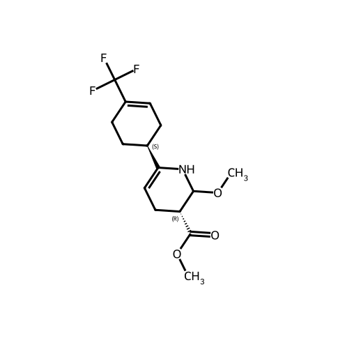 COC(=O)[C@@H]1CC=C([C@@H]2CC=C(C(F)(F)F)CC2)NC1OC